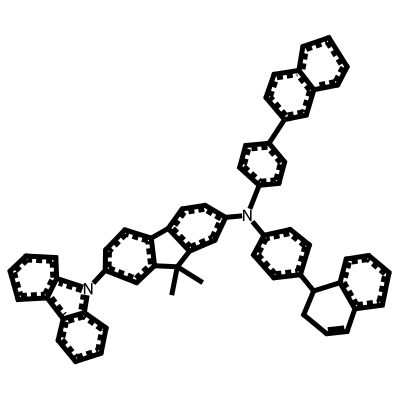 CC1(C)c2cc(N(c3ccc(-c4ccc5ccccc5c4)cc3)c3ccc(C4CC=Cc5ccccc54)cc3)ccc2-c2ccc(-n3c4ccccc4c4ccccc43)cc21